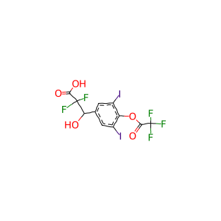 O=C(Oc1c(I)cc(C(O)C(F)(F)C(=O)O)cc1I)C(F)(F)F